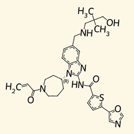 C=CC(=O)N1CCC[C@@H](n2c(NC(=O)c3ccc(-c4cnco4)s3)nc3cc(CNCC(C)(C)CO)ccc32)CC1